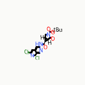 CC(C)(C)OC(=O)N1C[C@H]2[C@H](C(=O)Nc3cc4cc(Cl)nc(Cl)c4cn3)[C@H]2C1=O